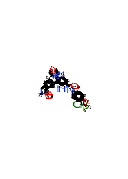 C[C@@H]1COCc2nc3cc(C(=O)Nc4ccc(OC(F)(F)Cl)cc4)cc(-c4ccc5c(c4)C(=O)N(C)C5)c3n21